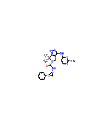 CC1(C)c2[nH]nc(Nc3ccnc(C#N)n3)c2CN1C(=O)N[C@@H]1C[C@H]1c1ccccc1